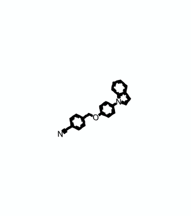 N#Cc1ccc(COc2ccc(-n3ccc4ccccc43)cc2)cc1